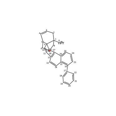 CCCC12CC=CC(CCC1)C21C=Cc2ccc3c(-c4ccccc4)cccc3c2O1